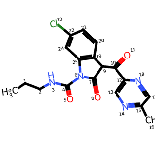 CCCNC(=O)N1C(=O)C(C(=O)c2cnc(C)cn2)c2ccc(Cl)cc21